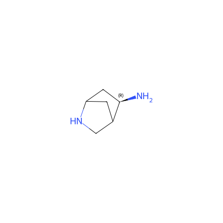 N[C@@H]1CC2CC1CN2